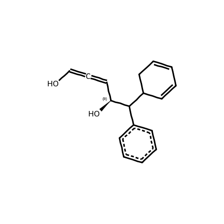 OC=C=C[C@H](O)C(c1ccccc1)C1C=CC=CC1